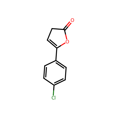 O=C1CC=C(c2ccc(Cl)cc2)O1